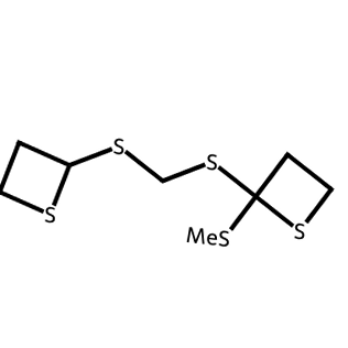 CSC1(SCSC2CCS2)CCS1